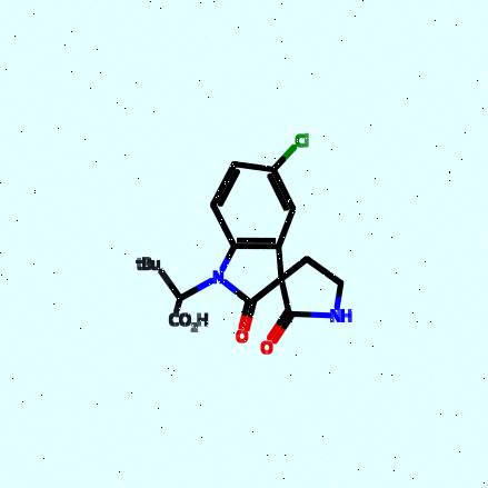 CC(C)(C)C(C(=O)O)N1C(=O)C2(CCNC2=O)c2cc(Cl)ccc21